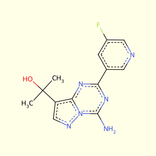 CC(C)(O)c1cnn2c(N)nc(-c3cncc(F)c3)nc12